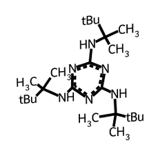 CC(C)(C)C(C)(C)Nc1nc(NC(C)(C)C(C)(C)C)nc(NC(C)(C)C(C)(C)C)n1